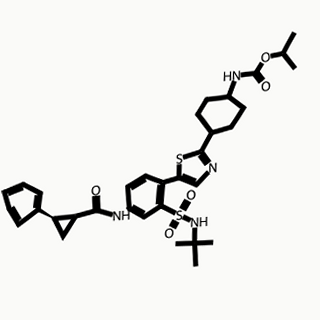 CC(C)OC(=O)NC1CCC(c2ncc(-c3ccc(NC(=O)C4C[C@H]4c4ccccc4)cc3S(=O)(=O)NC(C)(C)C)s2)CC1